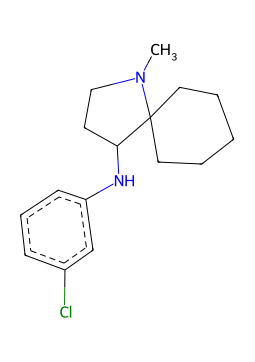 CN1CCC(Nc2cccc(Cl)c2)C12CCCCC2